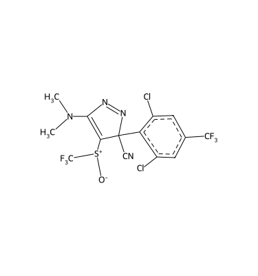 CN(C)C1=C([S+]([O-])C(F)(F)F)C(C#N)(c2c(Cl)cc(C(F)(F)F)cc2Cl)N=N1